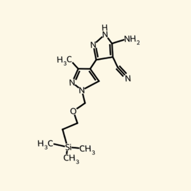 Cc1nn(COCC[Si](C)(C)C)cc1-c1n[nH]c(N)c1C#N